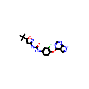 CC(C)(C)c1cc(NC(=O)Nc2ccc(Oc3ncnc4[nH]ncc34)c(Cl)c2)no1